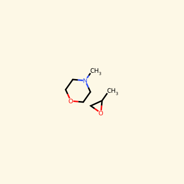 CC1CO1.CN1CCOCC1